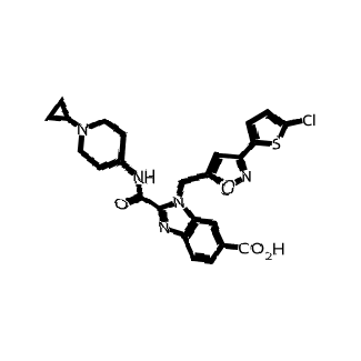 O=C(O)c1ccc2nc(C(=O)NC3CCN(C4CC4)CC3)n(Cc3cc(-c4ccc(Cl)s4)no3)c2c1